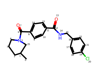 CC1CCCN(C(=O)c2ccc(C(=O)NCc3ccc(Cl)cc3)cc2)C1